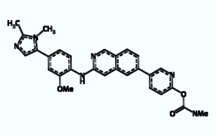 CNC(=O)Oc1ccc(-c2ccc3cnc(Nc4ccc(-c5cnc(C)n5C)cc4OC)cc3c2)cn1